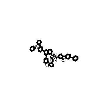 c1ccc(-c2ccc3c(c2)oc2cc(-c4nc(-c5ccccc5)nc(-c5cccc6oc7ccc(-c8cccc(-c9ccc%10c(c9)c9ccccc9n%10-c9ccccc9)c8)cc7c56)n4)ccc23)cc1